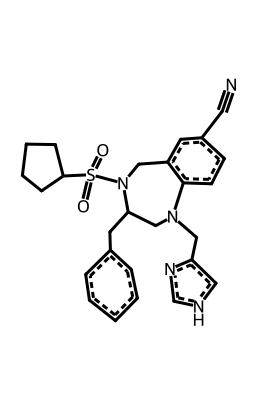 N#Cc1ccc2c(c1)CN(S(=O)(=O)C1CCCC1)C(Cc1ccccc1)CN2Cc1c[nH]cn1